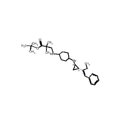 CC/C(=C\c1ccccc1)[C@@H]1C[C@H]1NC1CCC(NCC(C)(C)C(=O)OC(C)(C)C)CC1